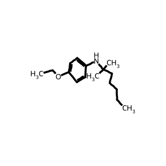 CCCCCC(C)(C)Nc1ccc(OCC)cc1